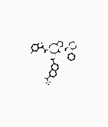 Cc1ccc2onc(C(=O)N3CC[C@H]4CC[C@@H](C(=O)N5CCOC[C@H]5c5ccccc5)N4C(=O)[C@@H](NC(=O)c4ccc5ccc(C(F)P(=O)(O)O)cc5c4)C3)c2c1